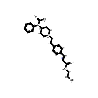 CCC(=O)N(c1ccccc1)C1CCN(CCc2ccc(/C=C/C(=O)OCCO)cc2)CC1